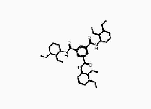 CCC1CCCC(NC(=O)c2cc(C(=O)NC3CCCC(CC)C3CC)cc(C(=O)NC3CCCC(CC)C3CC)c2)C1CC